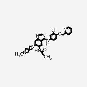 C=CC(=O)Nc1cc2c(Nc3ccc(OCc4ccccn4)c(Cl)c3)ncnc2cc1N1CC2(CN(C)C2)C1